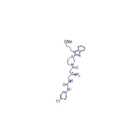 COCCCn1c([C@@H]2CCCN(C(=O)C[C@@H](N)CNC(=O)Nc3ccc(Cl)cc3)C2)nc2ccccc21